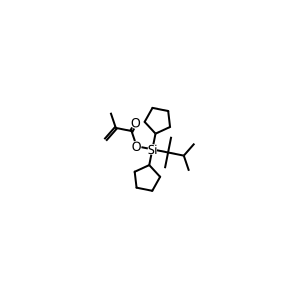 C=C(C)C(=O)O[Si](C1CCCC1)(C1CCCC1)C(C)(C)C(C)C